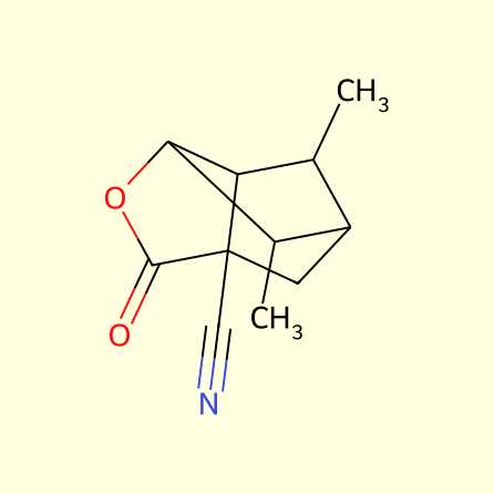 CC1C2CC3(C#N)C(=O)OC1C3C2C